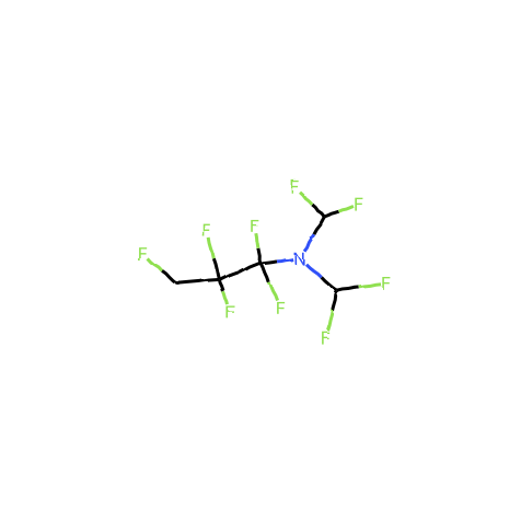 FCC(F)(F)C(F)(F)N(C(F)F)C(F)F